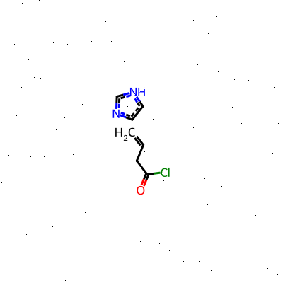 C=CCC(=O)Cl.c1c[nH]cn1